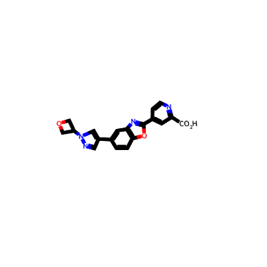 O=C(O)c1cc(-c2nc3cc(-c4cnn(C5COC5)c4)ccc3o2)ccn1